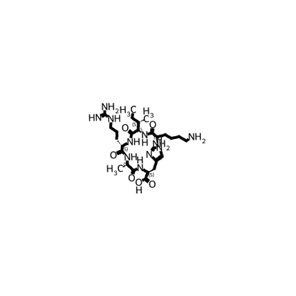 CC[C@H](C)[C@H](NC(=O)[C@@H](N)CCCCN)C(=O)N[C@@H](CCCNC(=N)N)C(=O)N[C@@H](C)C(=O)N[C@@H](Cc1c[nH]cn1)C(=O)O